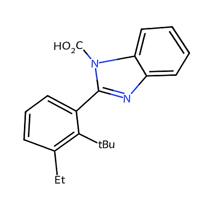 CCc1cccc(-c2nc3ccccc3n2C(=O)O)c1C(C)(C)C